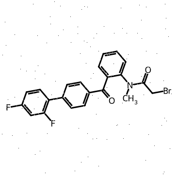 CN(C(=O)CBr)c1ccccc1C(=O)c1ccc(-c2ccc(F)cc2F)cc1